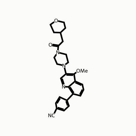 COc1c(N2CCN(C(=O)CC3CCOCC3)CC2)cnc2c(-c3ccc(C#N)cc3)cccc12